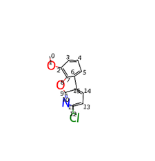 COc1cccc2c1oc1nc(Cl)ccc12